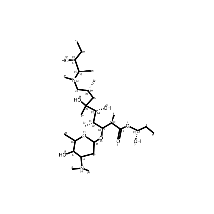 CC[C@H](O)OC(=O)[C@H](C)[C@@H](OC1CC(N(C)C)C(O)C(C)O1)[C@H](C)[C@@H](O)C(C)(O)C[C@@H](C)CN(C)[C@H](C)[C@@H](O)CC